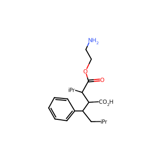 CC(C)CC(c1ccccc1)C(C(=O)O)C(C(=O)OCCN)C(C)C